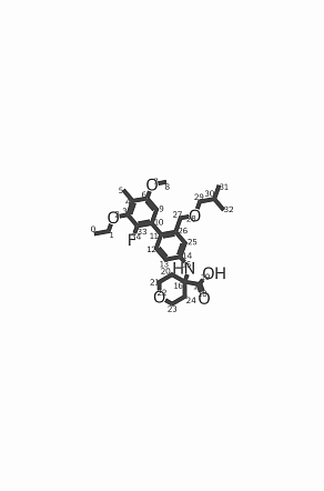 CCOc1c(C)c(OC)cc(-c2ccc(NC3(C(=O)O)CCOCC3)cc2COCC(C)C)c1F